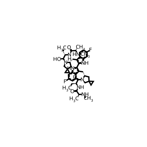 CC[C@H](NC(=O)[C@H](C)NC)C(=O)N1CC2(CC2)C[C@H]1Cc1c(-c2[nH]c3cc(F)ccc3c2C[C@@H]2CC3(CC3)CN2C(O)[C@H](CC)NC(=O)[C@H](C)NC)[nH]c2cc(F)ccc12